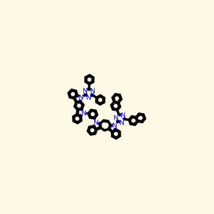 C1=Cc2c(c3ccccc3n2-c2nc(-c3ccc4ccccc4c3)nc(-c3ccc4ccccc4c3)n2)Cc2c1n(-c1cccc(-n3c4ccccc4c4cc5c6ccccc6n(-c6nc(-c7ccccc7)nc(-c7ccccc7)n6)c5cc43)c1)c1ccccc21